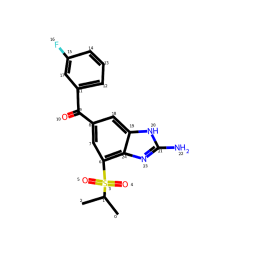 CC(C)S(=O)(=O)c1cc(C(=O)c2cccc(F)c2)cc2[nH]c(N)nc12